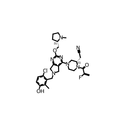 C=C(F)C(=O)N1CCN(c2nc(OC[C@@H]3CCCN3C)nc3c2CN(Cc2c(Cl)ccc(O)c2C)C3)C[C@@H]1CC#N